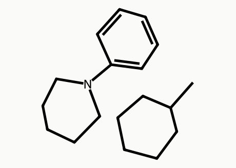 CC1CCCCC1.c1ccc(N2CCCCC2)cc1